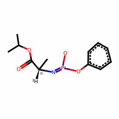 [2H][C@@](C)(N=[P+]([O-])Oc1ccccc1)C(=O)OC(C)C